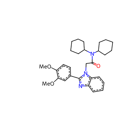 COc1ccc(-c2nc3ccccc3n2CC(=O)N(C2CCCCC2)C2CCCCC2)cc1OC